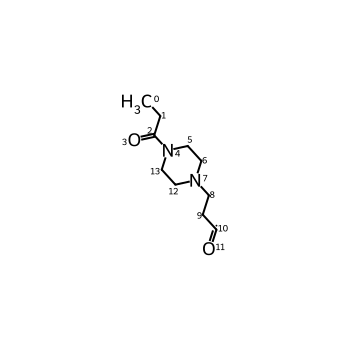 CCC(=O)N1CCN(CC[C]=O)CC1